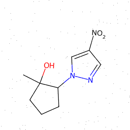 CC1(O)CCCC1n1cc([N+](=O)[O-])cn1